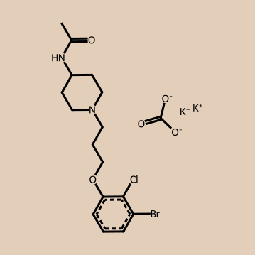 CC(=O)NC1CCN(CCCOc2cccc(Br)c2Cl)CC1.O=C([O-])[O-].[K+].[K+]